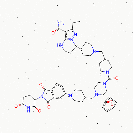 CCc1nn2c(c1C(N)=O)NCCC2C1CCN(CC2CCN(C(=O)N3CCN(CC4CCN(c5ccc6c(c5)C(=O)N(C5CCC(=O)NC5=O)C6=O)CC4)CC3)CC2)CC1.c1cc2ccc1o2